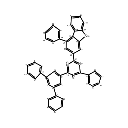 c1ccc(-c2cc(-c3ccccc3)cc(-c3nc(-c4ccccc4)nc(-c4cc(-c5ccccc5)c5c(c4)sc4ccccc45)n3)c2)cc1